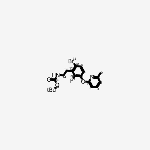 Cc1cccc(Oc2ccc(Br)c(CCNC(=O)OC(C)(C)C)c2F)n1